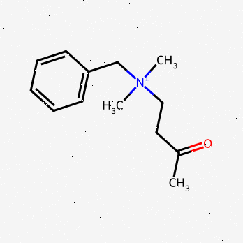 CC(=O)CC[N+](C)(C)Cc1ccccc1